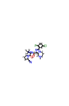 CN1CCCn2c(-c3cc(Cl)ccc3F)nc(C(=O)NC(C(=O)N3CCCC3C#N)C(C)(C)C)c2C1